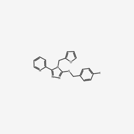 Ic1ccc(CSc2nnc(-c3ccccn3)n2Cc2ccco2)cc1